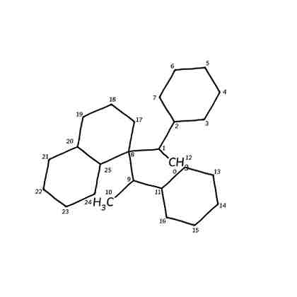 CC(C1CCCCC1)C1(C(C)C2CCCCC2)CCCC2CCCCC21